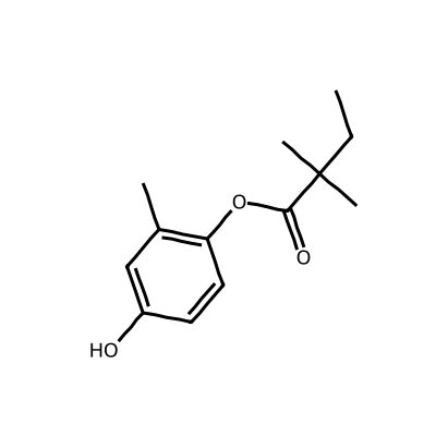 CCC(C)(C)C(=O)Oc1ccc(O)cc1C